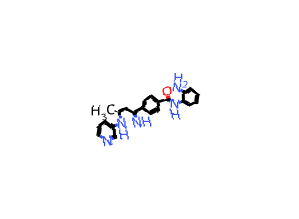 C[C@H](CC(=N)c1ccc(C(=O)Nc2ccccc2N)cc1)Nc1cccnc1